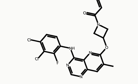 C=CC(=O)N1CC(Oc2nc3c(Nc4ccc(Cl)c(Cl)c4F)ncnc3cc2C)C1